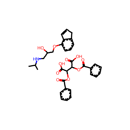 CC(C)NCC(O)COc1cccc2c1C=CC2.O=C(OC(C(=O)O)C(OC(=O)c1ccccc1)C(=O)O)c1ccccc1